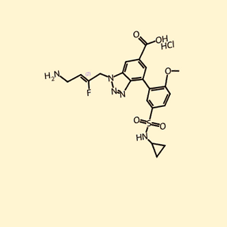 COc1ccc(S(=O)(=O)NC2CC2)cc1-c1cc(C(=O)O)cc2c1nnn2C/C(F)=C/CN.Cl